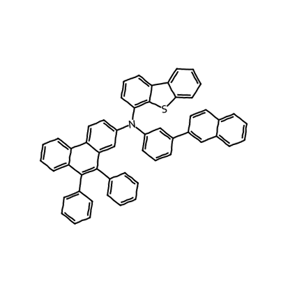 c1ccc(-c2c(-c3ccccc3)c3cc(N(c4cccc(-c5ccc6ccccc6c5)c4)c4cccc5c4sc4ccccc45)ccc3c3ccccc23)cc1